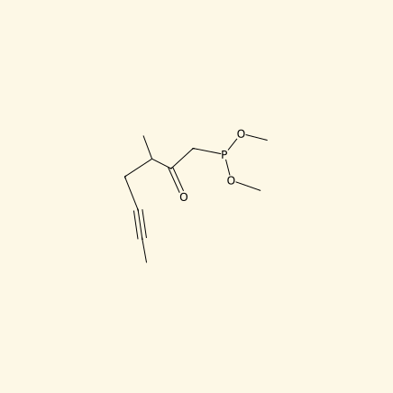 CC#CCC(C)C(=O)CP(OC)OC